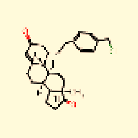 C[C@@]12C(=CC(=O)C[C@@H]1CCc1ccc(CCl)cc1)CC[C@@H]1[C@@H]2CC[C@]2(C)C(=O)CC[C@@H]12